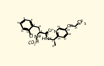 C[C@@H](NC(=O)[C@H](Cc1ccccc1Cl)NC(=O)O)c1ccc(OCC(F)(F)F)cn1